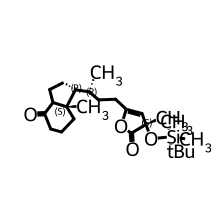 C[C@H](CCC1=C[C@](C)(O[Si](C)(C)C(C)(C)C)C(=O)O1)[C@H]1CCC2C(=O)CCC[C@]21C